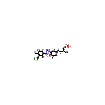 C[C](CO)CCc1ccc2oc(-c3ccc(C)c(Cl)c3)nc2c1